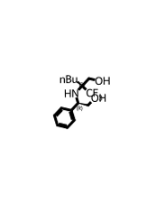 CCCC[C@](CO)(N[C@@H](CO)c1ccccc1)C(F)(F)F